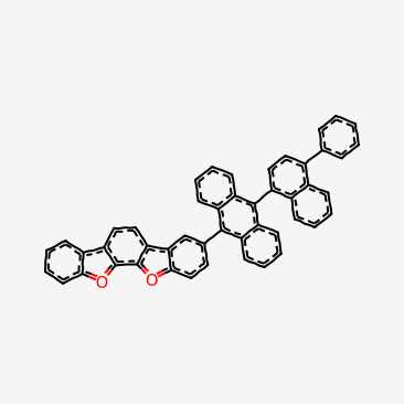 c1ccc(-c2ccc(-c3c4ccccc4c(-c4ccc5oc6c(ccc7c8ccccc8oc76)c5c4)c4ccccc34)c3ccccc23)cc1